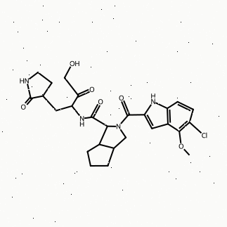 COc1c(Cl)ccc2[nH]c(C(=O)N3CC4CCCC4C3C(=O)NC(CC3CCNC3=O)C(=O)CO)cc12